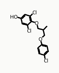 CC(COc1ccc(Cl)cc1)COc1c(Cl)cc(O)cc1Cl